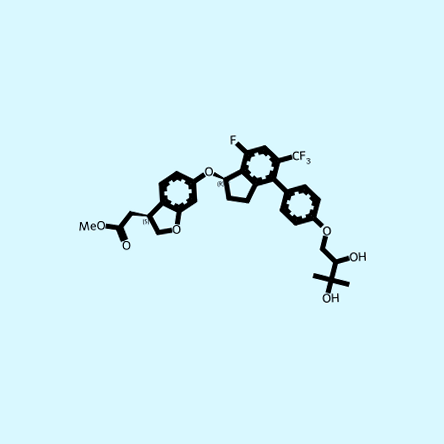 COC(=O)C[C@@H]1COc2cc(O[C@@H]3CCc4c(-c5ccc(OCC(O)C(C)(C)O)cc5)c(C(F)(F)F)cc(F)c43)ccc21